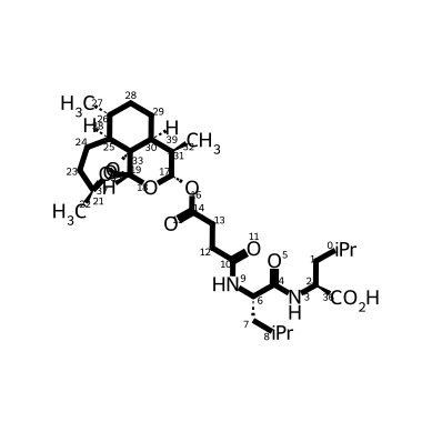 CC(C)C[C@H](NC(=O)[C@H](CC(C)C)NC(=O)CCC(=O)O[C@@H]1O[C@@H]2O[C@@]3(C)CC[C@H]4[C@H](C)CC[C@@H]([C@H]1C)[C@@]24OO3)C(=O)O